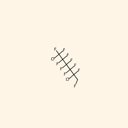 FCC(F)(Cl)C(F)(F)C(F)(F)C(F)(F)C(F)(F)Cl